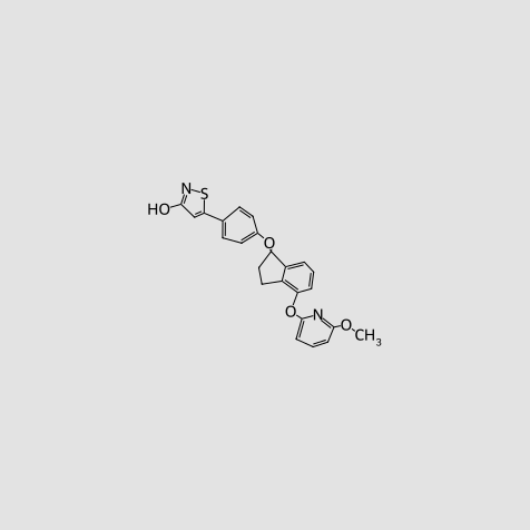 COc1cccc(Oc2cccc3c2CC[C@H]3Oc2ccc(-c3cc(O)ns3)cc2)n1